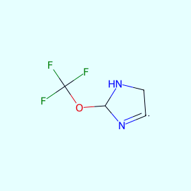 FC(F)(F)OC1N=[C]CN1